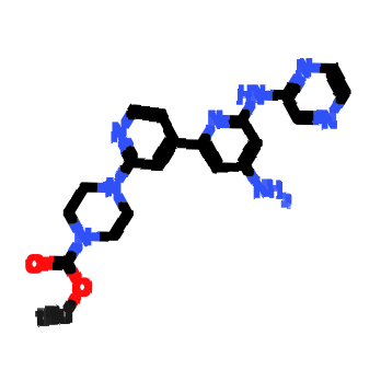 CC(C)(C)OC(=O)N1CCN(c2cc(-c3cc(N)cc(Nc4cnccn4)n3)ccn2)CC1